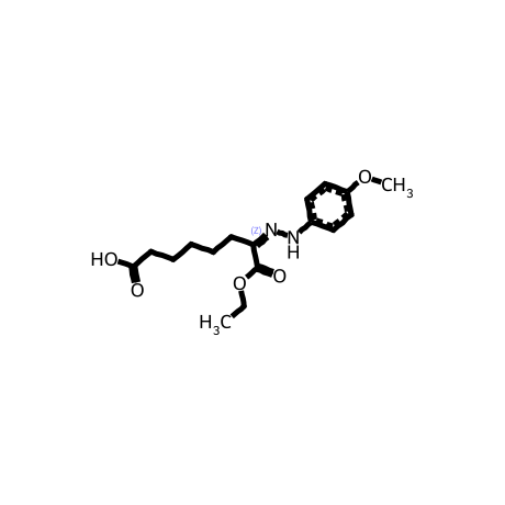 CCOC(=O)/C(CCCCCC(=O)O)=N\Nc1ccc(OC)cc1